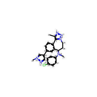 Cc1nnn2c1-c1ccc(-c3cnn(C)c3)cc1C(N(C)c1ccc(Cl)cc1)CC2